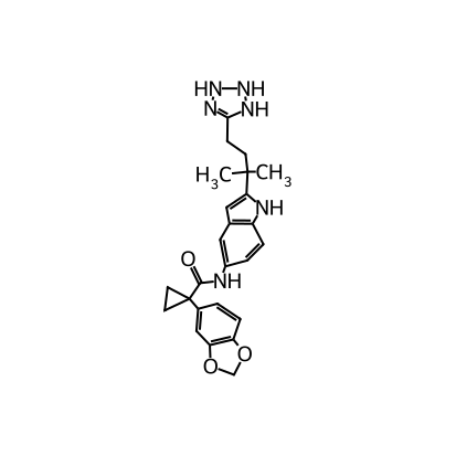 CC(C)(CCC1=NNNN1)c1cc2cc(NC(=O)C3(c4ccc5c(c4)OCO5)CC3)ccc2[nH]1